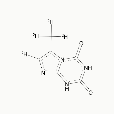 [2H]c1nc2[nH]c(=O)[nH]c(=O)n2c1C([2H])([2H])[2H]